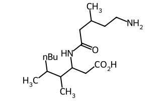 CCCCC(C)C(C)C(CC(=O)O)NC(=O)CC(C)CCN